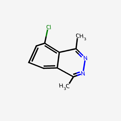 Cc1nnc(C)c2c(Cl)cccc12